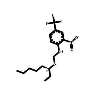 CCCCC[C@H](CC)SCNc1ccc(C(F)(F)F)cc1[N+](=O)[O-]